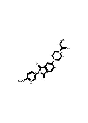 COc1ccc(N2C(=O)c3ccc(N4CCN(C(=O)OC(C)(C)C)CC4)cc3C2=O)cn1